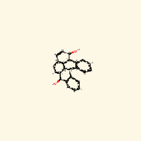 O=C1c2ccccc2-c2c3ccccc3c3c4c(ccc1c24)C=CC3=O